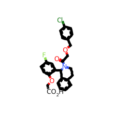 O=C(O)COc1ccc(F)cc1C1c2ccccc2CCN1C(=O)COCc1ccc(Cl)cc1